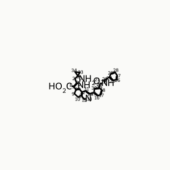 NC1(Cc2[nH]c3c(c2C(=O)O)CCc2cnc(-c4cccc(C(=O)NCc5ccccc5)c4)cc2-3)CC1